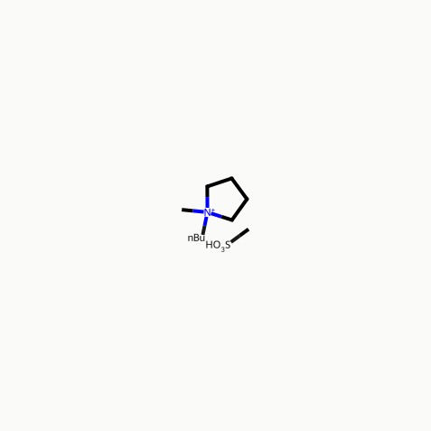 CCCC[N+]1(C)CCCC1.CS(=O)(=O)O